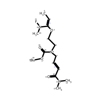 C/C=C(/OCCN(C/C=C/C(=O)N(C)C)C(=O)OC(C)(C)C)N(C)F